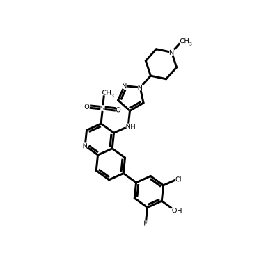 CN1CCC(n2cc(Nc3c(S(C)(=O)=O)cnc4ccc(-c5cc(F)c(O)c(Cl)c5)cc34)cn2)CC1